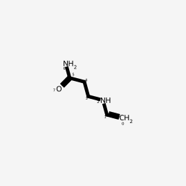 C=CNCCC(N)=O